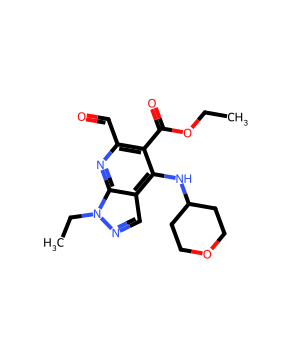 CCOC(=O)c1c(C=O)nc2c(cnn2CC)c1NC1CCOCC1